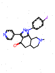 CN1CCC2CC(=O)c3c(-c4ccncc4)nn(-c4ccc(I)cc4)c3C2C1